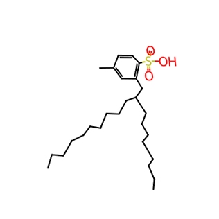 CCCCCCCCCCC(CCCCCCCC)Cc1cc(C)ccc1S(=O)(=O)O